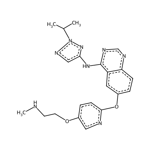 CNCCOc1ccc(Oc2ccc3ncnc(Nc4cnn(C(C)C)n4)c3c2)nc1